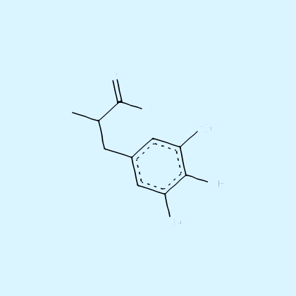 CC(Cc1cc(C(C)(C)C)c(O)c(C(C)(C)C)c1)C(=O)Cl